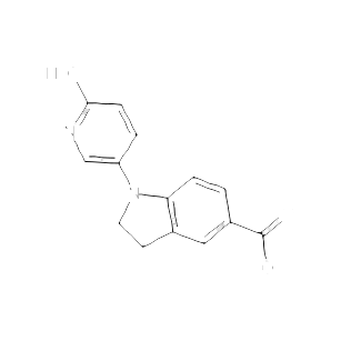 Cc1ccc(N2CCc3cc(C(=O)O)ccc32)cn1